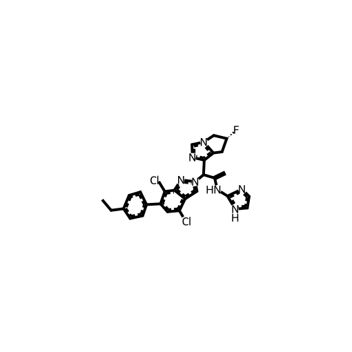 C=C(Nc1ncc[nH]1)C(c1ncn2c1C[C@@H](F)C2)n1cc2c(Cl)cc(-c3ccc(CC)cc3)c(Cl)c2n1